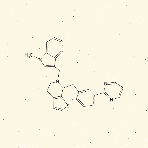 Cn1cc(CN2CCc3ccsc3C2Cc2cccc(-c3ncccn3)c2)c2ccccc21